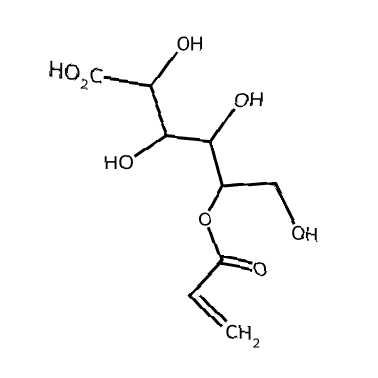 C=CC(=O)OC(CO)C(O)C(O)C(O)C(=O)O